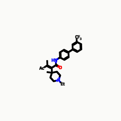 CCN1CCC(C)(/C(C(=O)Nc2ccc(-c3cccc(C(F)(F)F)c3)cc2)=C(/C)C(C)=O)CC1